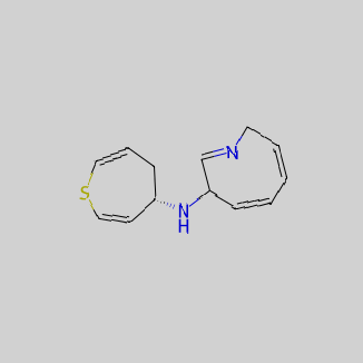 C1=CSC=C[C@@H](NC2/C=C\C=C/C/N=C/2)C1